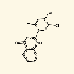 Cc1cc(Cl)c(Cl)cc1-c1cc(=O)c2ccccc2[nH]1